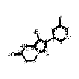 CCc1c(-c2cncc(C)c2)nn2c1NC(=O)CC2